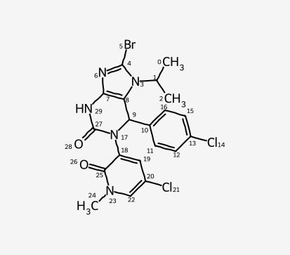 CC(C)n1c(Br)nc2c1C(c1ccc(Cl)cc1)N(c1cc(Cl)cn(C)c1=O)C(=O)N2